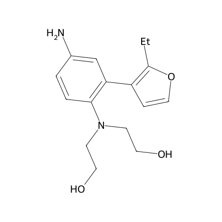 CCc1occc1-c1cc(N)ccc1N(CCO)CCO